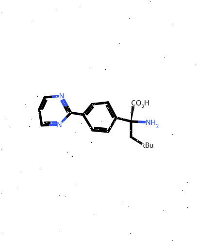 CC(C)(C)C[C@](N)(C(=O)O)c1ccc(-c2ncccn2)cc1